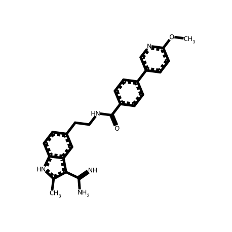 COc1ccc(-c2ccc(C(=O)NCCc3ccc4[nH]c(C)c(C(=N)N)c4c3)cc2)cn1